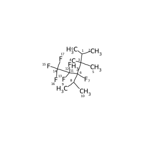 CC(C)C(C)(C)C(F)(C(C)C)C(F)(F)C(F)(F)F